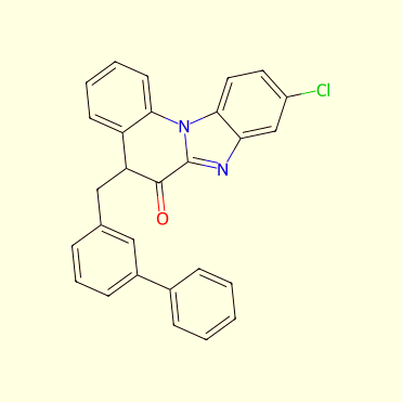 O=C1c2nc3cc(Cl)ccc3n2-c2ccccc2C1Cc1cccc(-c2ccccc2)c1